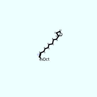 CCC[CH]CCCC/C=C\CCCCCCCC1CCO1